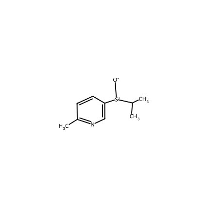 Cc1ccc([S+]([O-])C(C)C)cn1